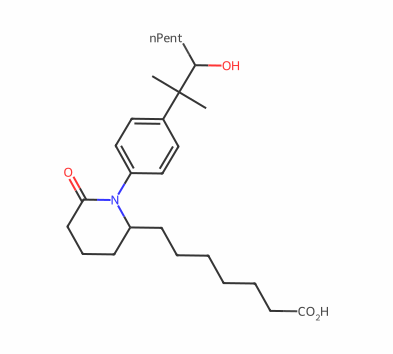 CCCCCC(O)C(C)(C)c1ccc(N2C(=O)CCCC2CCCCCCC(=O)O)cc1